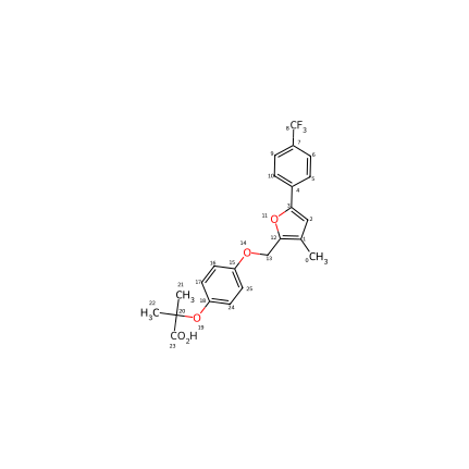 Cc1cc(-c2ccc(C(F)(F)F)cc2)oc1COc1ccc(OC(C)(C)C(=O)O)cc1